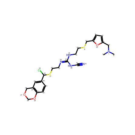 CN(C)Cc1ccc(CSCCNC(=NCCSC(Cl)c2ccc3c(c2)COCO3)NC#N)o1